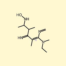 C=N/C(=C(/C)C(=N)C(C)C(C)NO)N(C)CC